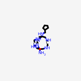 NC12CNCCNCC(NCC3CCCC3)(CNCCNC1)CNCCNC2